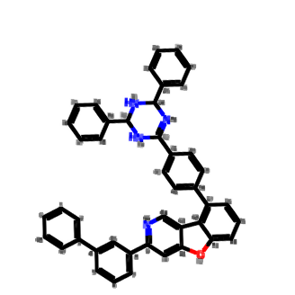 c1ccc(-c2cccc(-c3cc4oc5cccc(-c6ccc(C7=NC(c8ccccc8)NC(c8ccccc8)N7)cc6)c5c4cn3)c2)cc1